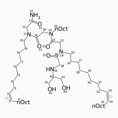 CCCCCCCC/C=C\CCCCCCCCN(CC(N)=O)C(=O)CN(CCCCCCCC)C(=O)CN(CCCCCCCC/C=C\CCCCCCCC)C(=O)CNC(CO)CO